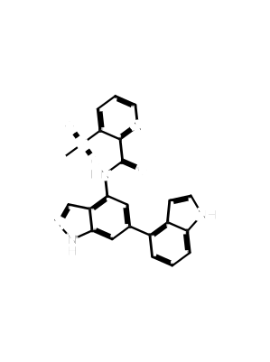 CS(=O)(=O)c1cccnc1C(=O)Nc1cc(-c2cccc3[nH]ccc23)cc2[nH]ncc12